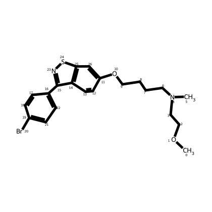 COCCN(C)CCCCOc1ccc2c(-c3ccc(Br)cc3)nsc2c1